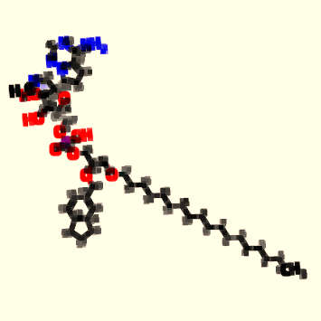 CCCCCCCCCCCCCCCCCCOC[C@H](COP(=O)(O)OC[C@H]1O[C@@](/C=N\C)(c2ccc3c(N)ncnn23)[C@H](O)[C@@H]1O)OCc1ccc2c(c1)CCC2